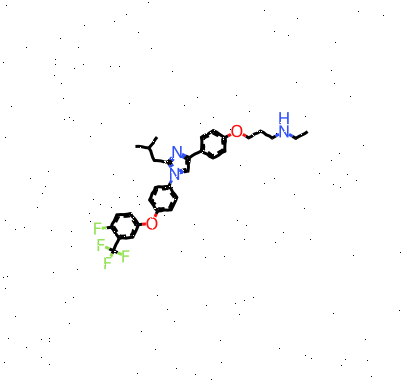 CCNCCCOc1ccc(-c2cn(-c3ccc(Oc4ccc(F)c(C(F)(F)F)c4)cc3)c(CC(C)C)n2)cc1